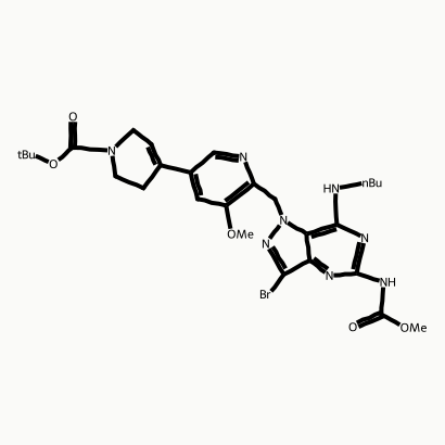 CCCCNc1nc(NC(=O)OC)nc2c(Br)nn(Cc3ncc(C4=CCN(C(=O)OC(C)(C)C)CC4)cc3OC)c12